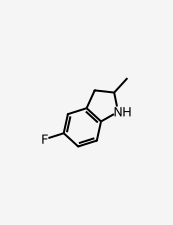 CC1Cc2cc(F)ccc2N1